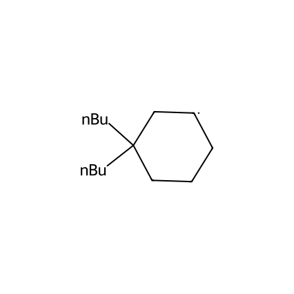 CCCCC1(CCCC)C[CH]CCC1